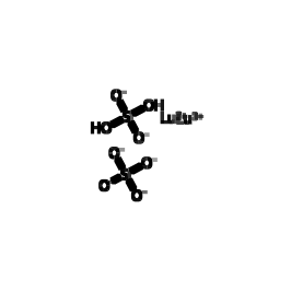 [Lu+3].[Lu+3].[O-][Si]([O-])(O)O.[O-][Si]([O-])([O-])[O-]